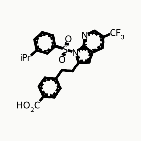 CC(C)c1cccc(S(=O)(=O)n2c(CCc3ccc(C(=O)O)cc3)cc3cc(C(F)(F)F)cnc32)c1